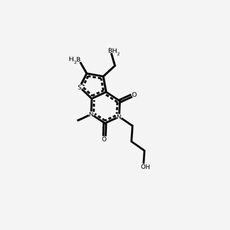 BCc1c(B)sc2c1c(=O)n(CCCO)c(=O)n2C